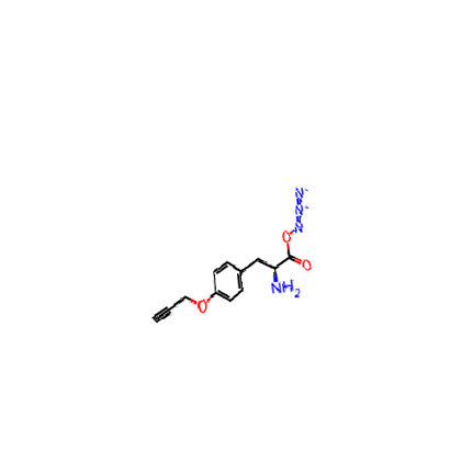 C#CCOc1ccc(C[C@H](N)C(=O)ON=[N+]=[N-])cc1